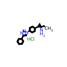 CCC1(N)CC1c1ccc(-n2cc(-c3ccccc3)nn2)cc1.Cl